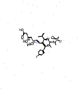 CC(C)C1=NC(N(C)S(C)(=O)=O)N(C)C(c2ccc(F)cc2)=C1/C=C/[C@H](O)C[C@@H](O)CC(=O)O